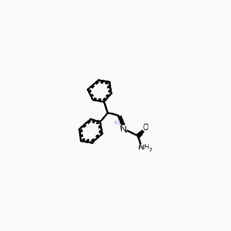 NC(=O)/N=C/C(c1ccccc1)c1ccccc1